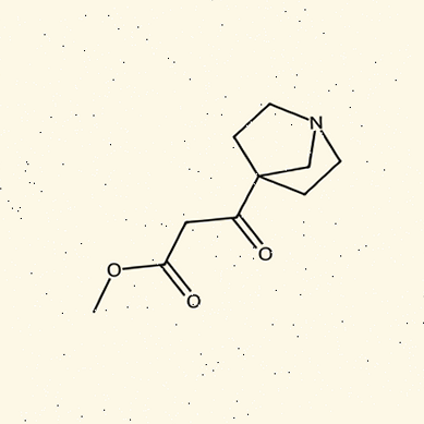 COC(=O)CC(=O)C12CCN(CC1)C2